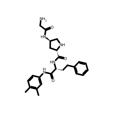 Cc1ccc(NC(=O)[C@@H](CCc2ccccc2)NC(=O)[C@@H]2C[C@@H](NC(=O)CN)CN2)cc1C